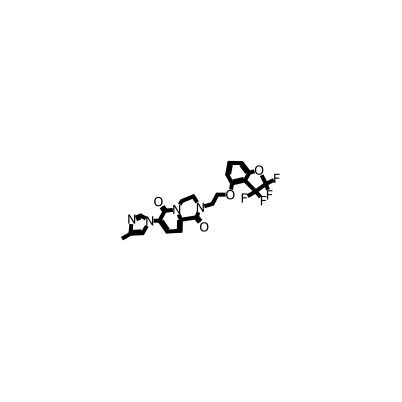 Cc1cn(-c2ccc3n(c2=O)CCN(CCOc2cccc4c2C(F)(F)C(F)(F)O4)C3=O)cn1